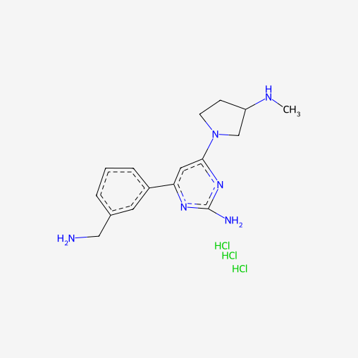 CNC1CCN(c2cc(-c3cccc(CN)c3)nc(N)n2)C1.Cl.Cl.Cl